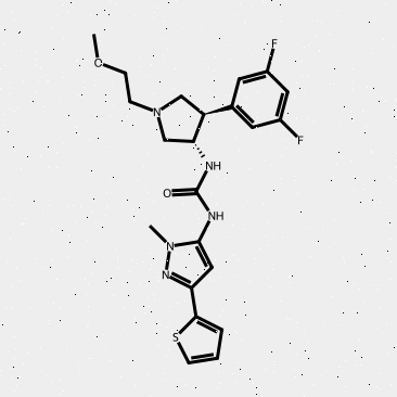 COCCN1C[C@@H](NC(=O)Nc2cc(-c3cccs3)nn2C)[C@H](c2cc(F)cc(F)c2)C1